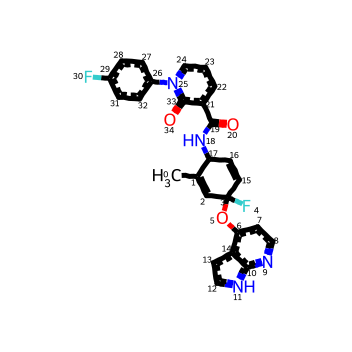 CC1=CC(F)(Oc2ccnc3[nH]ccc23)C=CC1NC(=O)c1cccn(-c2ccc(F)cc2)c1=O